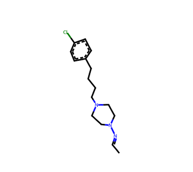 C/C=N/N1CCN(CCCCc2ccc(Cl)cc2)CC1